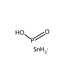 O=PO.[SnH2]